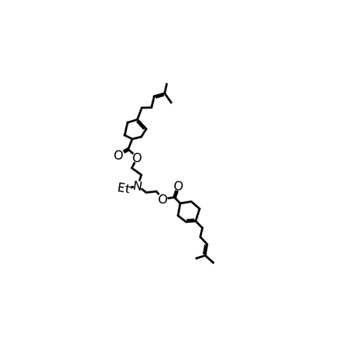 CCN(CCOC(=O)C1CC=C(CCC=C(C)C)CC1)CCOC(=O)C1CC=C(CCC=C(C)C)CC1